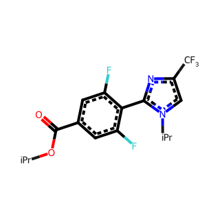 CC(C)OC(=O)c1cc(F)c(-c2nc(C(F)(F)F)cn2C(C)C)c(F)c1